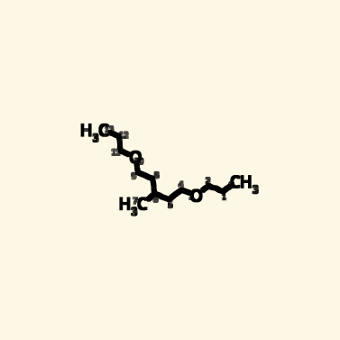 CCCOCCC(C)CCOCCC